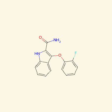 NC(=O)c1[nH]c2ccccc2c1Oc1ccccc1F